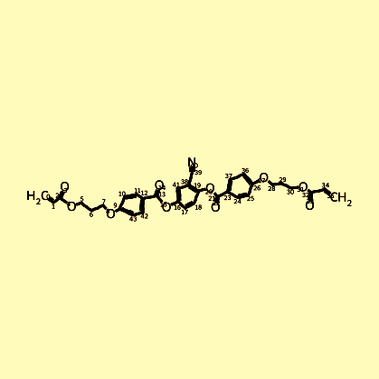 C=CC(=O)OCCCOc1ccc(C(=O)Oc2ccc(OC(=O)c3ccc(OCCCOC(=O)C=C)cc3)c(C#N)c2)cc1